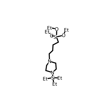 CCO[Si](CCCCN1CCN([Si](CC)(CC)CC)CC1)(OCC)OCC